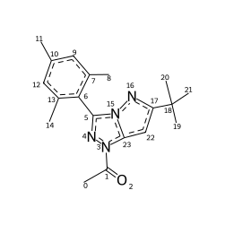 CC(=O)n1nc(-c2c(C)cc(C)cc2C)n2nc(C(C)(C)C)cc12